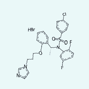 Br.C[C@H](c1ccccc1OCCCn1ccnc1)N(c1cc(F)ccc1F)S(=O)(=O)c1ccc(Cl)cc1